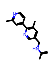 C=C(C)NCc1cnc(-c2ccnc(C)c2)c(C)c1